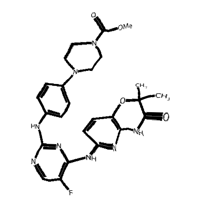 COC(=O)N1CCN(c2ccc(Nc3ncc(F)c(Nc4ccc5c(n4)NC(=O)C(C)(C)O5)n3)cc2)CC1